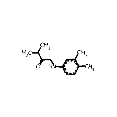 Cc1ccc(NCC(=O)C(C)C)cc1C